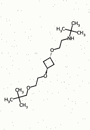 CC(C)(C)COCCO[C@H]1C[C@H](OCCNC(C)(C)C)C1